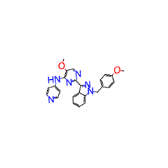 COc1ccc(Cn2nc(-c3ncc(OC)c(Nc4ccncc4)n3)c3ccccc32)cc1